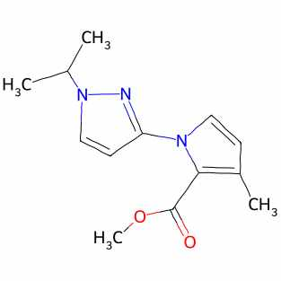 COC(=O)c1c(C)ccn1-c1ccn(C(C)C)n1